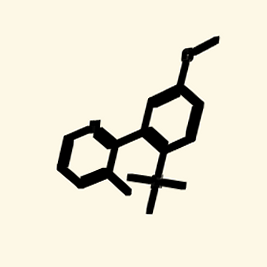 COc1ccc([Si](C)(C)C)c(-c2ncccc2C)c1